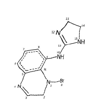 BrN1CC=Nc2cccc(NC3=NCCN3)c21